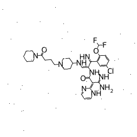 N=C(N)/C(C(=O)N/C(=C/NC1CCN(CCCC(=O)N2CCCCC2)CC1)C(=N)c1cc(Cl)ccc1OC(F)F)=C1/N=CC=CN1